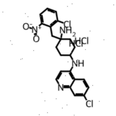 Cl.Cl.NC1(Cc2c(Cl)cccc2[N+](=O)[O-])CCC(Nc2ccnc3cc(Cl)ccc23)CC1